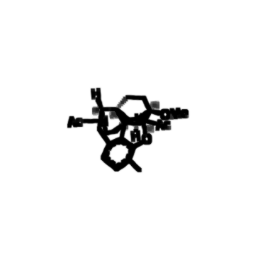 CO[C@]12CC[C@@]3(C[C@@H]1C(C)=O)[C@H]1Cc4ccc(C)c5c4[C@@]3(CCN1C(C)=O)[C@H]2O5